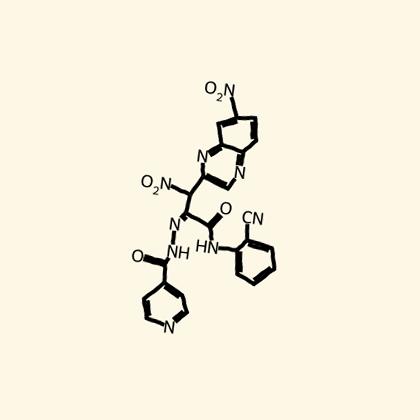 N#Cc1ccccc1NC(=O)/C(=N\NC(=O)c1ccncc1)C(c1cnc2ccc([N+](=O)[O-])cc2n1)[N+](=O)[O-]